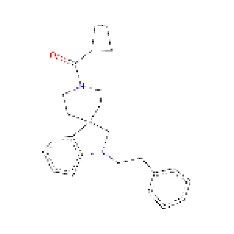 O=C(C1CCC1)N1CCC2(CC1)CN(CCc1ccccc1)c1ccccc12